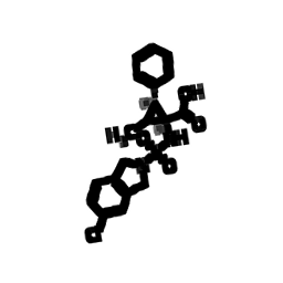 CC1[C@H](c2ccccc2)[C@]1(NS(=O)(=O)N1Cc2ccc(Cl)cc2C1)C(=O)O